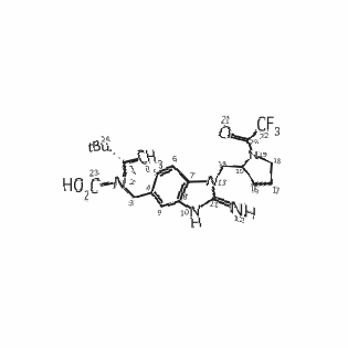 C[C@H](N(Cc1ccc2c(c1)[nH]c(=N)n2CC1CCCN1C(=O)C(F)(F)F)C(=O)O)C(C)(C)C